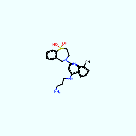 N#Cc1cccc2c(NCCCN)cc(N3CCS(O)(O)c4ccccc4C3)nc12